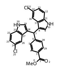 COC(=O)c1ccc(C(c2c[nH]c3ccc(Cl)cc23)c2c[nH]c3ccc(Cl)cc23)cc1